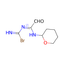 N=C(Br)/N=C(/C=O)NC1CCCCO1